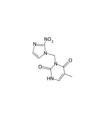 Cc1c[nH]c(=O)n(Cn2ccnc2[N+](=O)[O-])c1=O